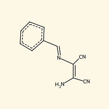 N#C/C(N)=C(\C#N)N=Cc1ccccc1